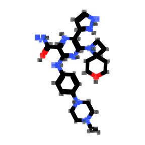 CN1CCN(c2ccc(Nc3nc(N4CCC45CCOCC5)c(-c4cc[nH]n4)nc3C(N)=O)cc2)CC1